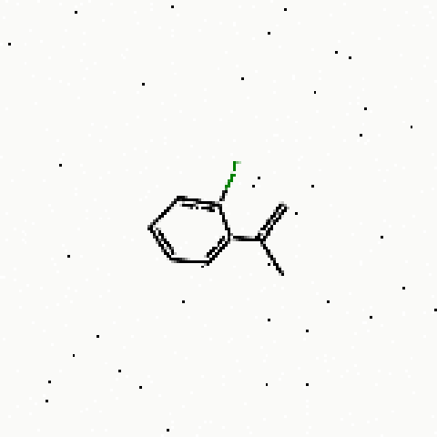 C=C(C)c1ccccc1F